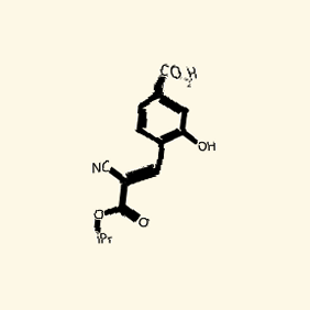 CC(C)OC(=O)/C(C#N)=C/c1ccc(C(=O)O)cc1O